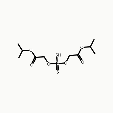 CC(C)OC(=O)COP(=S)(S)OCC(=O)OC(C)C